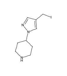 ICc1cnn(C2CCNCC2)c1